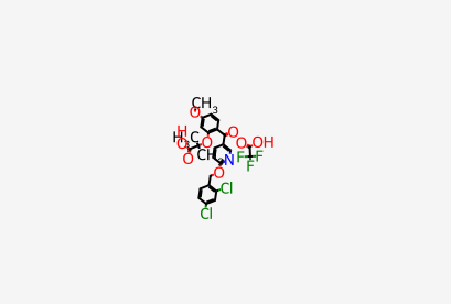 COc1ccc(C(=O)c2ccc(OCc3ccc(Cl)cc3Cl)nc2)c(OC(C)(C)C(=O)O)c1.O=C(O)C(F)(F)F